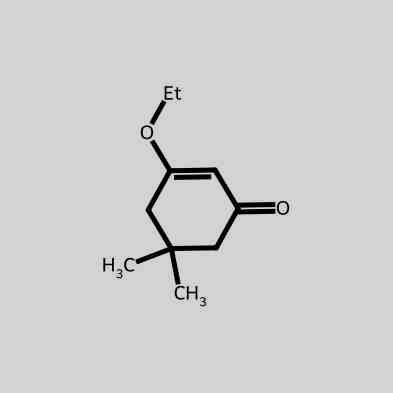 CCOC1=CC(=O)CC(C)(C)C1